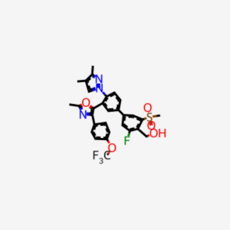 Cc1nc(-c2ccc(OC(F)(F)F)cc2)c(-c2cc(-c3cc(F)c(CO)c(S(C)(=O)=O)c3)ccc2-n2cc(C)c(C)n2)o1